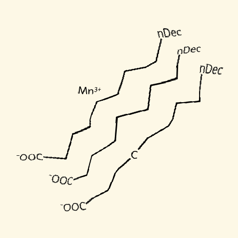 CCCCCCCCCCCCCCCCCC(=O)[O-].CCCCCCCCCCCCCCCCCC(=O)[O-].CCCCCCCCCCCCCCCCCC(=O)[O-].[Mn+3]